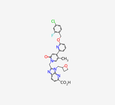 Cc1cn(Cc2nc3ccc(C(=O)O)nc3n2CC2CCO2)c(=O)cc1-c1cccc(OCc2ccc(Cl)cc2F)n1